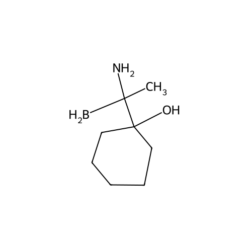 BC(C)(N)C1(O)CCCCC1